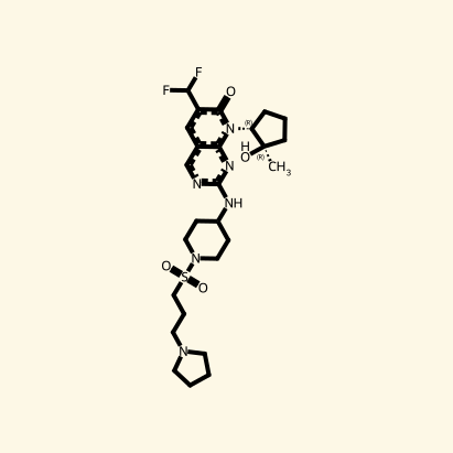 C[C@@]1(O)CCC[C@H]1n1c(=O)c(C(F)F)cc2cnc(NC3CCN(S(=O)(=O)CCCN4CCCC4)CC3)nc21